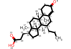 CCC[C@@H]1CC2=CC(=O)CC[C@]2(C)[C@H]2CC[C@]3(C)[C@H](CCC(=O)O)CC[C@H]3[C@H]12